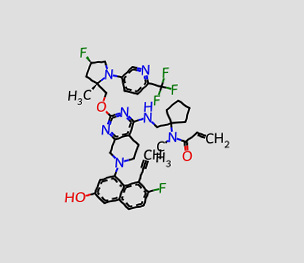 C#Cc1c(F)ccc2cc(O)cc(N3CCc4c(nc(OC[C@]5(C)C[C@@H](F)CN5c5ccc(C(F)(F)F)nc5)nc4NCC4(N(C)C(=O)C=C)CCCC4)C3)c12